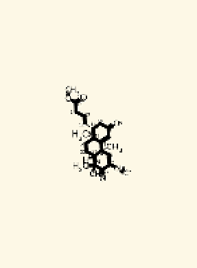 [C-]#[N+]C1=C[C@]2(C)C3=CC(=O)C[C@@H](CCCC(=O)OC)[C@]3(C)CC[C@H]2C(C)(C)C1=O